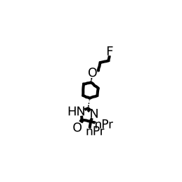 CCCC1(CCC)N=C([C@H]2CC[C@@H](OCCCF)CC2)NC1=O